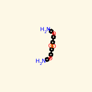 Nc1ccc(Oc2ccc(-c3ccc(S(=O)(=O)c4ccc(-c5ccc(Oc6ccc(N)cc6)cc5)cc4)cc3)cc2)cc1